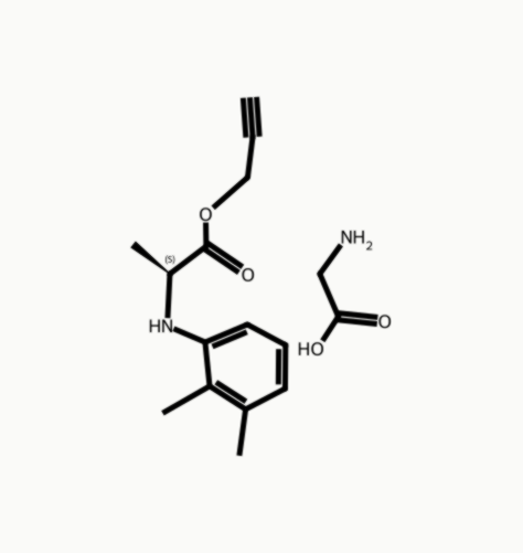 C#CCOC(=O)[C@H](C)Nc1cccc(C)c1C.NCC(=O)O